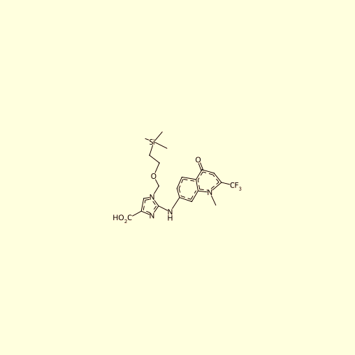 Cn1c(C(F)(F)F)cc(=O)c2ccc(Nc3nc(C(=O)O)cn3COCC[Si](C)(C)C)cc21